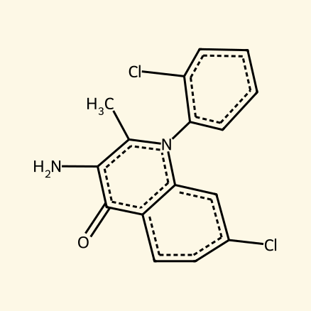 Cc1c(N)c(=O)c2ccc(Cl)cc2n1-c1ccccc1Cl